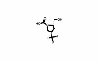 O=C(O)N1C[C@H](C(F)(F)F)C[C@H]1CO